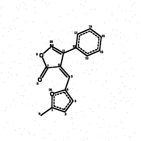 Cc1ccc(/C=C2\C(=O)ON=C2c2ccccc2)o1